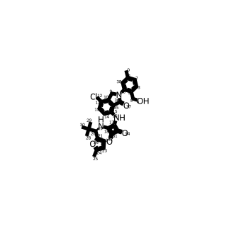 Cc1ccc(CO)c(N2Cc3c(Cl)ccc(Nc4c(N[C@@H](c5ccc(C)o5)C(C)(C)C)c(=O)c4=O)c3C2=O)c1